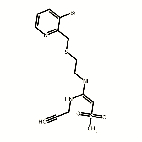 C#CCNC(=CS(C)(=O)=O)NCCSCc1ncccc1Br